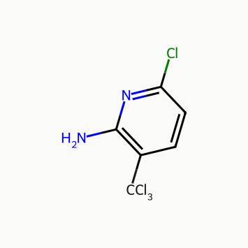 Nc1nc(Cl)ccc1C(Cl)(Cl)Cl